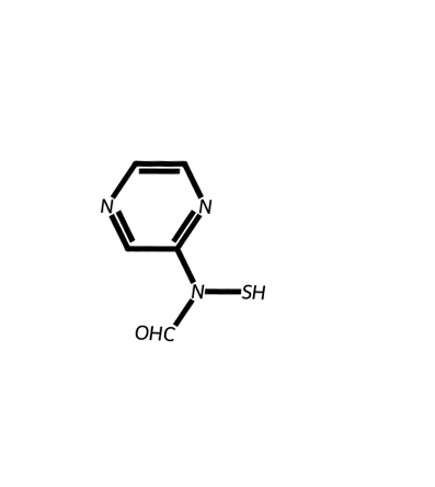 O=CN(S)c1cnccn1